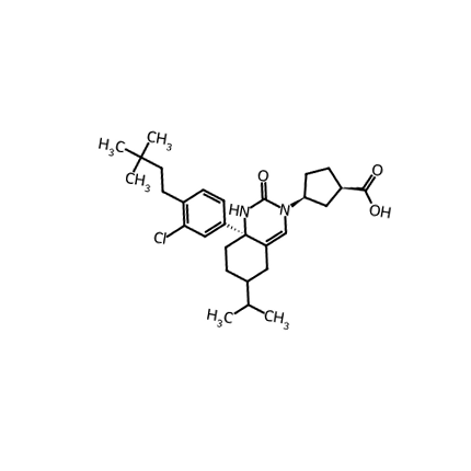 CC(C)C1CC[C@@]2(c3ccc(CCC(C)(C)C)c(Cl)c3)NC(=O)N([C@H]3CC[C@@H](C(=O)O)C3)C=C2C1